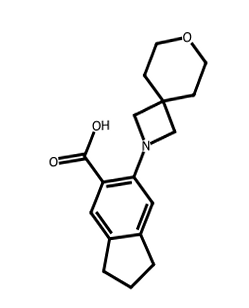 O=C(O)c1cc2c(cc1N1CC3(CCOCC3)C1)CCC2